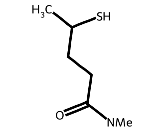 CNC(=O)CCC(C)S